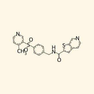 Cc1ccncc1S(=O)(=O)c1ccc(CNC(=O)c2cc3ccncc3s2)cc1